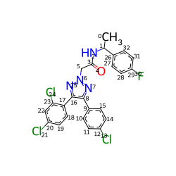 CC(NC(=O)Cn1nc(-c2ccc(Cl)cc2)c(-c2ccc(Cl)cc2Cl)n1)c1ccc(F)cc1